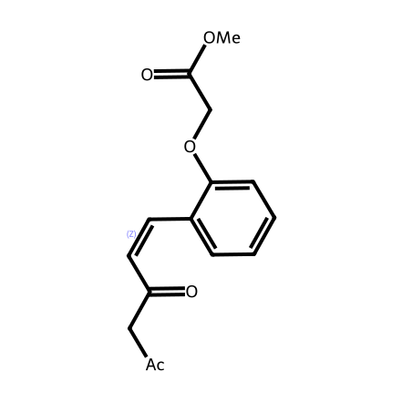 COC(=O)COc1ccccc1/C=C\C(=O)CC(C)=O